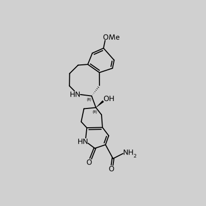 COc1ccc2c(c1)CCCN[C@@H]([C@@]1(O)CCc3[nH]c(=O)c(C(N)=O)cc3C1)C2